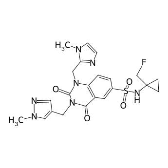 Cn1cc(Cn2c(=O)c3cc(S(=O)(=O)NC4(CF)CC4)ccc3n(Cc3nccn3C)c2=O)cn1